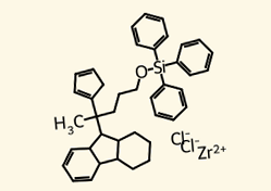 CC(CCCO[Si](c1ccccc1)(c1ccccc1)c1ccccc1)(C1=CC=CC1)C1C2C=CC=CC2C2CCCCC21.[Cl-].[Cl-].[Zr+2]